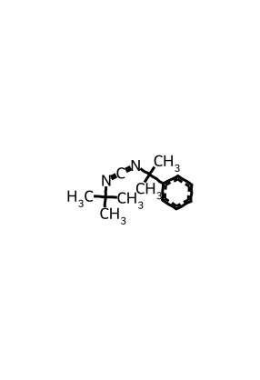 CC(C)(C)N=C=NC(C)(C)c1ccccc1